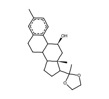 Cc1ccc2c(c1)CCC1C2[C@@H](O)C[C@@]2(C)C1CCC2C1(C)OCCO1